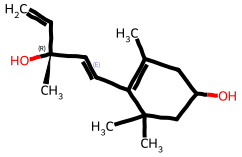 C=C[C@@](C)(O)/C=C/C1=C(C)CC(O)CC1(C)C